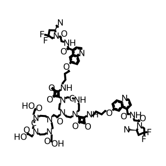 N#C[C@@H]1CC(F)(F)CN1C(=O)CNC(=O)c1ccnc2ccc(OCCCCNc3c(N4CCNCCN(c5c(NCCCCOc6ccc7nccc(C(=O)NCC(=O)N8CC(F)(F)C[C@H]8C#N)c7c6)c(=O)c5=O)CCN(C(=O)CN5CCN(CC(=O)O)CCN(CC(=O)O)CCN(CC(=O)O)CC5)CC4)c(=O)c3=O)cc12